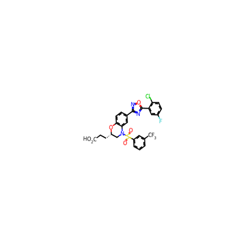 O=C(O)CC[C@H]1CN(S(=O)(=O)c2cccc(C(F)(F)F)c2)c2cc(-c3noc(-c4cc(F)ccc4Cl)n3)ccc2O1